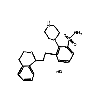 Cl.NS(=O)(=O)c1cccc(CCC2OCCc3ccccc32)c1N1CCNCC1